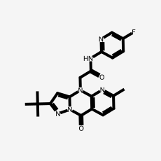 Cc1ccc2c(=O)n3nc(C(C)(C)C)cc3n(CC(=O)Nc3ccc(F)cn3)c2n1